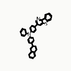 c1ccc(N(c2ccc(-c3ccc4ccccc4c3)cc2)c2ccc(-c3cnc4c(c3)sc3ccccc34)cc2)cc1